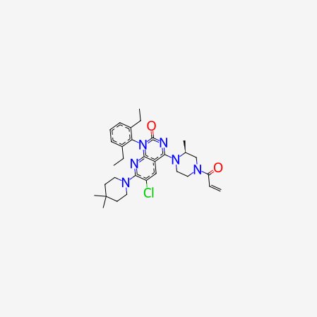 C=CC(=O)N1CCN(c2nc(=O)n(-c3c(CC)cccc3CC)c3nc(N4CCC(C)(C)CC4)c(Cl)cc23)[C@@H](C)C1